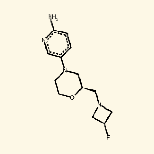 Nc1ccc(N2CCO[C@H](CN3CC(F)C3)C2)cn1